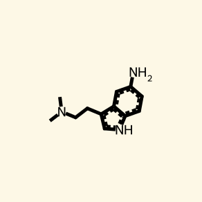 CN(C)CCc1c[nH]c2ccc(N)cc12